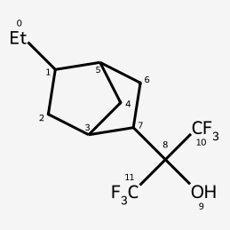 CCC1CC2CC1CC2C(O)(C(F)(F)F)C(F)(F)F